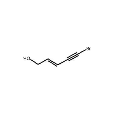 OCC=CC#CBr